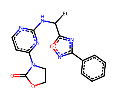 CCC(Nc1nccc(N2CCOC2=O)n1)c1nc(-c2ccccc2)no1